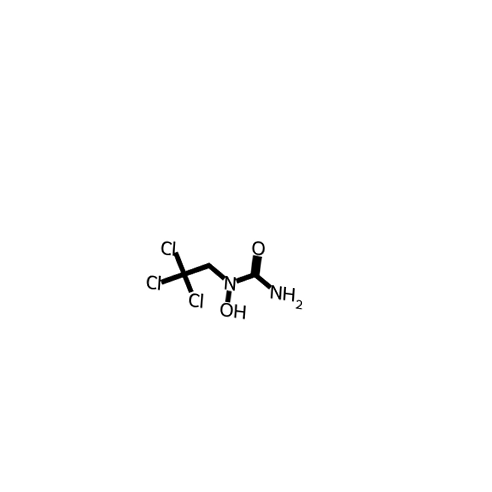 NC(=O)N(O)CC(Cl)(Cl)Cl